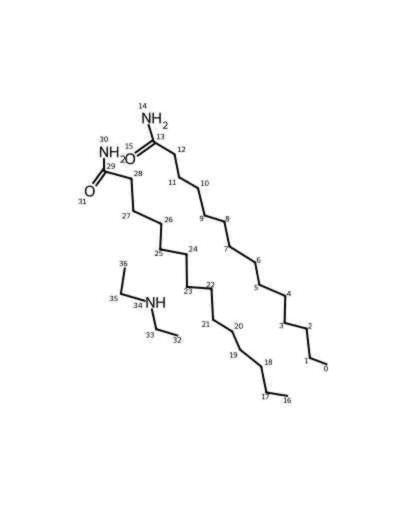 CCCCCCCCCCCCCC(N)=O.CCCCCCCCCCCCCC(N)=O.CCNCC